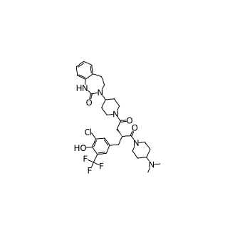 CN(C)C1CCN(C(=O)[C@H](CC(=O)N2CCC(N3CCc4ccccc4NC3=O)CC2)Cc2cc(Cl)c(O)c(C(F)(F)F)c2)CC1